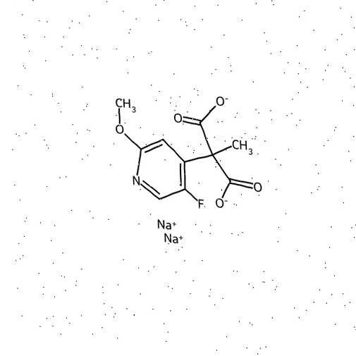 COc1cc(C(C)(C(=O)[O-])C(=O)[O-])c(F)cn1.[Na+].[Na+]